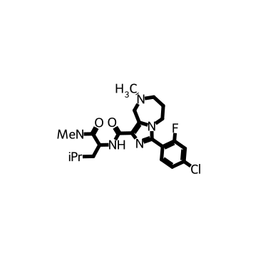 CNC(=O)C(CC(C)C)NC(=O)c1nc(-c2ccc(Cl)cc2F)n2c1CN(C)CCC2